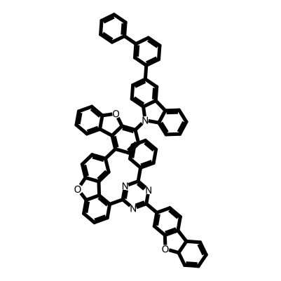 C1=CC2Oc3cc(-c4nc(-c5ccccc5)nc(-c5cccc6oc7ccc(-c8ccc(-n9c%10ccccc%10c%10cc(-c%11cccc(-c%12ccccc%12)c%11)ccc%109)c9oc%10ccccc%10c89)cc7c56)n4)ccc3C2C=C1